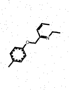 C/C=C\C(COc1ccc(C)cc1)=N/CC